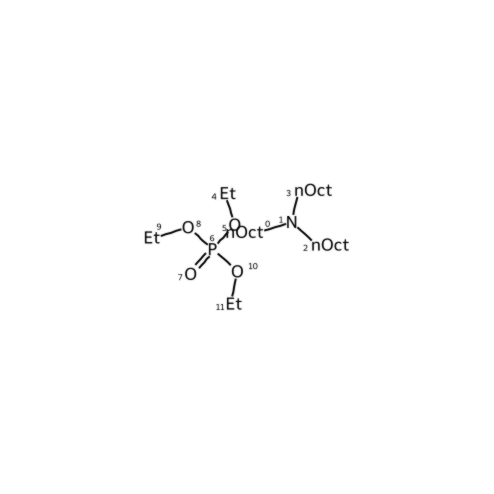 CCCCCCCCN(CCCCCCCC)CCCCCCCC.CCOP(=O)(OCC)OCC